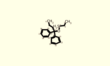 CCCC(O[SiH2]CC)(c1ccccc1)c1ccccc1